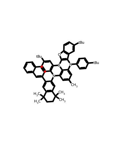 Cc1cc2c3c(c1)N(c1ccc(C(C)(C)C)cc1)c1c(oc4ccc(C(C)(C)C)cc14)B3c1cc(C(C)(C)C)ccc1N2c1cc2c(cc1-c1ccc3ccccc3c1)C(C)(C)CCC2(C)C